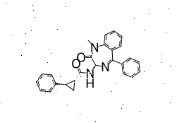 CN1C(=O)[C@H](NC(=O)[C@@H]2C[C@H]2c2ccccc2)N=C(c2ccccc2)c2ccccc21